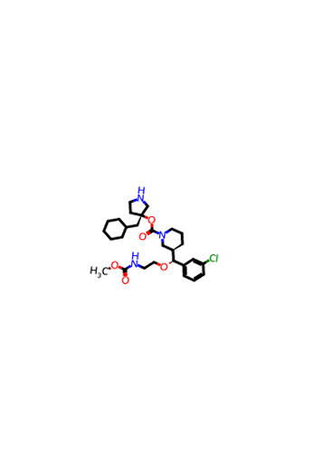 COC(=O)NCCO[C@@H](c1cccc(Cl)c1)[C@@H]1CCCN(C(=O)O[C@]2(CC3CCCCC3)CCNC2)C1